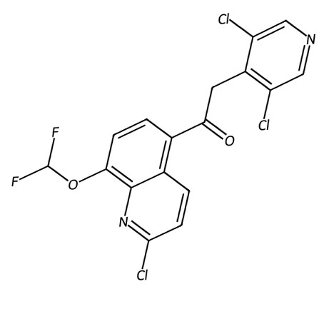 O=C(Cc1c(Cl)cncc1Cl)c1ccc(OC(F)F)c2nc(Cl)ccc12